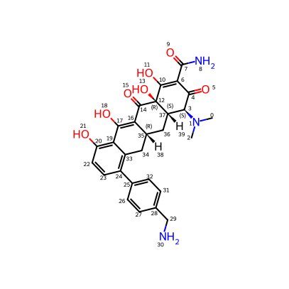 CN(C)[C@@H]1C(=O)C(C(N)=O)=C(O)[C@@]2(O)C(=O)C3=C(O)c4c(O)ccc(-c5ccc(CN)cc5)c4C[C@H]3C[C@@H]12